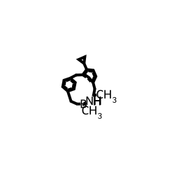 CB1CCc2ccc(cc2)Cc2cc(ccc2C2CC2)C[C@@H](C)N1